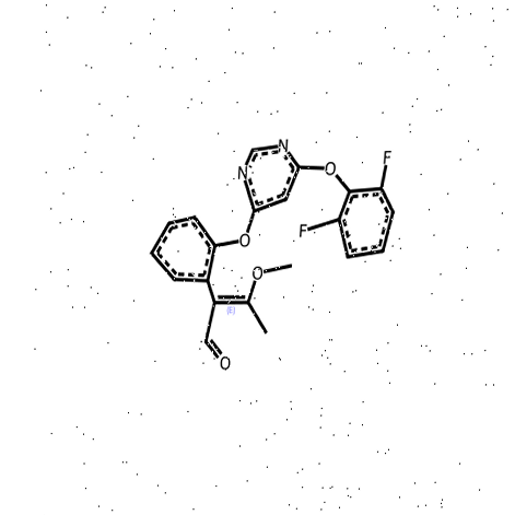 CO/C(C)=C(/[C]=O)c1ccccc1Oc1cc(Oc2c(F)cccc2F)ncn1